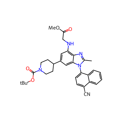 COC(=O)CNc1cc(C2CCN(C(=O)OC(C)(C)C)CC2)cc2c1nc(C)n2-c1ccc(C#N)c2ccccc12